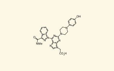 CNC(=O)c1nn(-c2nc(N3CCN(c4ccc(O)cc4)CC3)nc3c2ncn3CC(=O)O)c2ccccc12